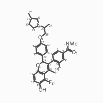 CNC(=O)c1ccc(C2=C(C)c3c(ccc(O)c3F)OC2c2ccc(OCC(C)N3CCC(C)C3)cc2)c(F)c1